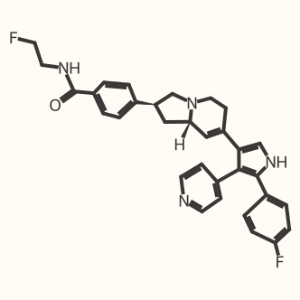 O=C(NCCF)c1ccc([C@@H]2C[C@H]3C=C(c4c[nH]c(-c5ccc(F)cc5)c4-c4ccncc4)CCN3C2)cc1